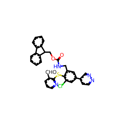 O=Cc1cccnc1Sc1c(Cl)cc(-c2ccnnc2)cc1CNC(=O)OCC1c2ccccc2-c2ccccc21